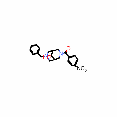 O=C(c1ccc([N+](=O)[O-])cc1)N1CC2CN(Cc3ccccc3)CC(C1)C2O